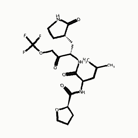 CC(C)CC(NC(=O)[C@H]1CCCO1)C(=O)N[C@@H](C[C@@H]1CCNC1=O)C(=O)COC(F)(F)F